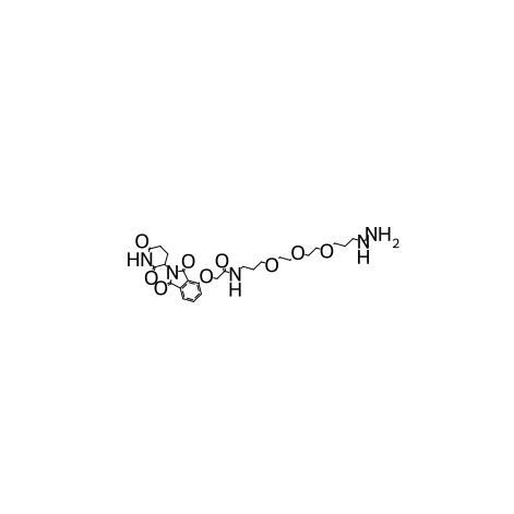 NNCCCOCCOCCOCCCNC(=O)COc1cccc2c1C(=O)N(C1CCC(=O)NC1=O)C2=O